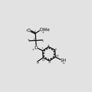 COC(=O)C(C)(C)Oc1ccc(S)cc1C